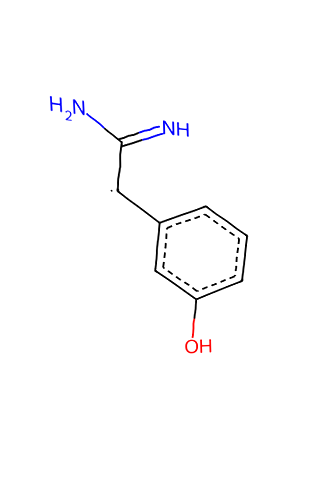 N=C(N)[CH]c1cccc(O)c1